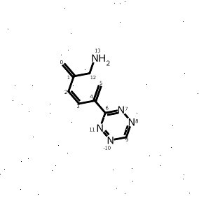 C=C(/C=C\C(=C)c1nncnn1)CN